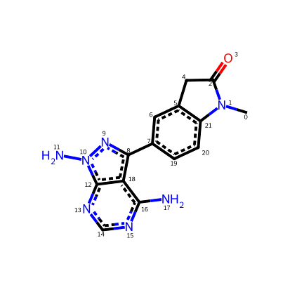 CN1C(=O)Cc2cc(-c3nn(N)c4ncnc(N)c34)ccc21